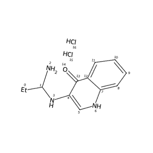 CCC(N)Nc1c[nH]c2ccccc2c1=O.Cl.Cl